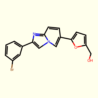 OCc1ccc(-c2ccc3nc(-c4cccc(Br)c4)cn3c2)o1